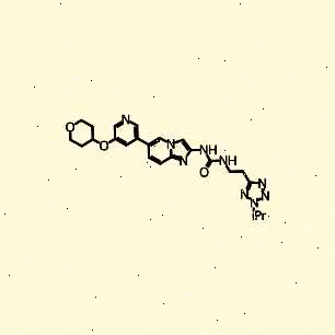 CC(C)n1nnc(CCNC(=O)Nc2cn3cc(-c4cncc(OC5CCOCC5)c4)ccc3n2)n1